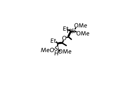 CC/C(=C(/C)O/C(C)=C(\CC)[SiH](OC)OC)[SiH](OC)OC